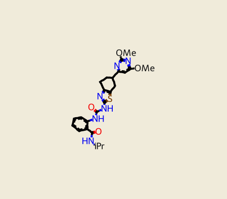 COc1cc(C2CCc3nc(NC(=O)Nc4ccccc4C(=O)NC(C)C)sc3C2)nc(OC)n1